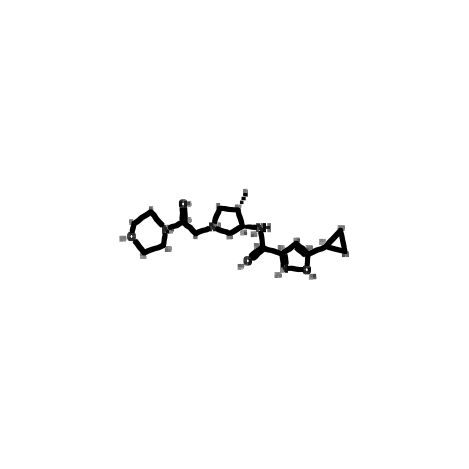 C[C@H]1CN(CC(=O)N2CCOCC2)C[C@@H]1NC(=O)c1cc(C2CC2)on1